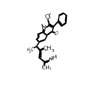 CC(=N)/C=C(\C)C(C)c1ccc2nc(Cl)c(-c3ccccc3)c(Cl)c2c1